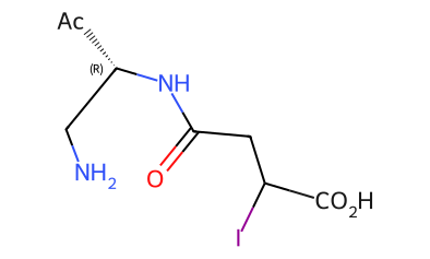 CC(=O)[C@@H](CN)NC(=O)CC(I)C(=O)O